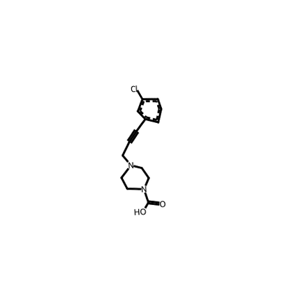 O=C(O)N1CCN(CC#Cc2cccc(Cl)c2)CC1